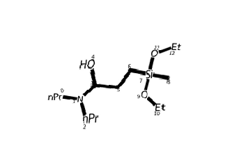 CCCN(CCC)C(O)CC[Si](C)(OCC)OCC